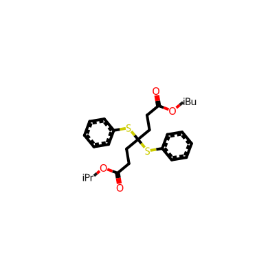 CCC(C)OC(=O)CCC(CCC(=O)OC(C)C)(Sc1ccccc1)Sc1ccccc1